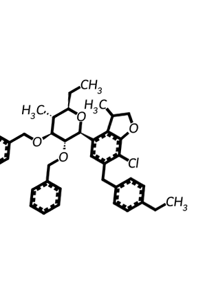 CCc1ccc(Cc2cc([C@@H]3O[C@H](CC)[C@@H](C)[C@H](OCc4ccccc4)[C@H]3OCc3ccccc3)c3c(c2Cl)OCC3C)cc1